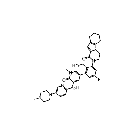 CN1CCN(c2ccc([AsH]c3cc(-c4cc(F)cc(N5CCn6c(cc7c6CCCC7)C5=O)c4CO)cn(C)c3=O)nc2)CC1